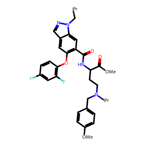 COC(=O)C(CCN(Cc1ccc(OC)cc1)C(C)C)NC(=O)c1cc2c(cnn2CC(C)C)cc1Oc1ccc(F)cc1F